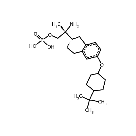 CC(C)(C)C1CCC(Oc2ccc3c(c2)CC[C@H]([C@@](C)(N)COP(=O)(O)O)C3)CC1